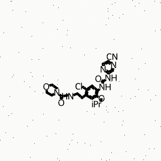 CC(C)Oc1cc(CCNCC(=O)N2CCOCC2)c(Cl)cc1NC(=O)Nc1cnc(C#N)cn1